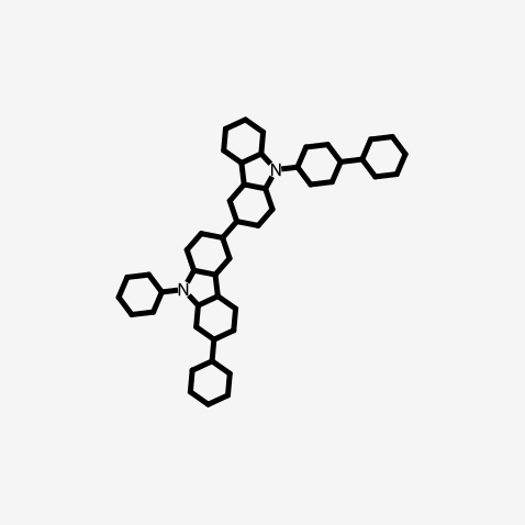 C1CCC(C2CCC(N3C4CCCCC4C4CC(C5CCC6C(C5)C5CCC(C7CCCCC7)CC5N6C5CCCCC5)CCC43)CC2)CC1